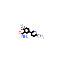 Cc1ccc(-c2ccc(C)c(C(N)=O)c2)cn1